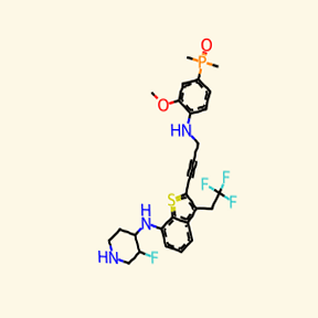 COc1cc(P(C)(C)=O)ccc1NCC#Cc1sc2c(NC3CCNCC3F)cccc2c1CC(F)(F)F